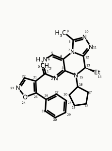 C=C(/N=C1\C(=C/N)n2c(C)nnc2[C@@H](CC)N1C1CCCC1)c1cnoc1-c1ccccc1